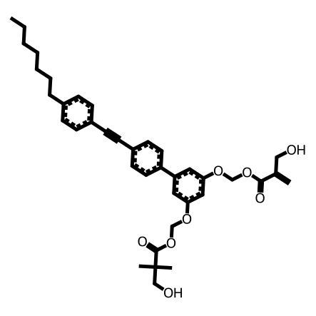 C=C(CO)C(=O)OCOc1cc(OCOC(=O)C(C)(C)CO)cc(-c2ccc(C#Cc3ccc(CCCCCCC)cc3)cc2)c1